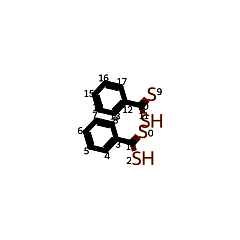 S=C(S)c1ccccc1.S=C(S)c1ccccc1